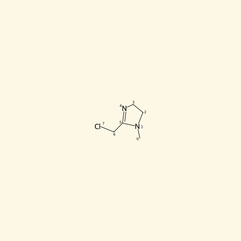 CN1CCN=C1CCl